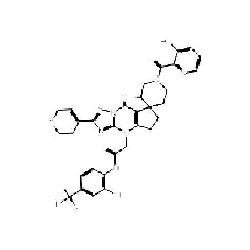 O=C(Cn1c2c(c(=O)n3nc(C4=CCOCC4)nc13)C1(CC2)CCN(C(=O)c2ncccc2O)CC1O)Nc1ccc(C(F)(F)F)cc1Cl